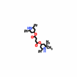 CC(C)C1CC(OC(=O)CCC(=O)OC2CC(C(C)C)NC(C)(C)C2)CC(C(C)C)N1